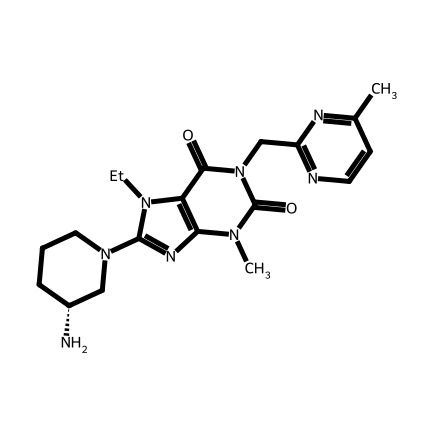 CCn1c(N2CCC[C@@H](N)C2)nc2c1c(=O)n(Cc1nccc(C)n1)c(=O)n2C